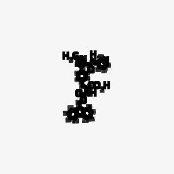 Cn1cc(-c2ccc(C[C@H](NC(=O)OCC3c4ccccc4-c4ccccc43)C(=O)O)cc2)c(C(=O)Nc2cccnc2)n1